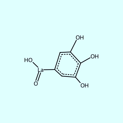 [O]=[La]([OH])[c]1cc(O)c(O)c(O)c1